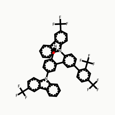 N#Cc1ccc(-n2c3ccccc3c3cc(C(F)(F)F)ccc32)cc1-c1cc(-c2ccc(C(F)(F)F)cc2C(F)(F)F)ccc1-n1c2ccccc2c2cc(C(F)(F)F)ccc21